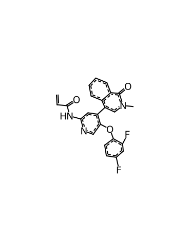 C=CC(=O)Nc1cc(-c2cn(C)c(=O)c3ccccc23)c(Oc2ccc(F)cc2F)cn1